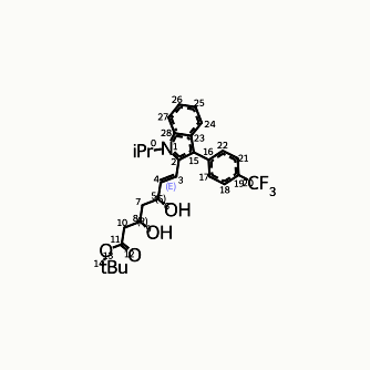 CC(C)n1c(/C=C/[C@@H](O)C[C@@H](O)CC(=O)OC(C)(C)C)c(-c2ccc(C(F)(F)F)cc2)c2ccccc21